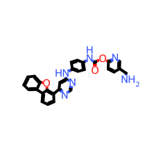 NCc1ccc(OC(=O)Nc2ccc(Nc3cc(-c4cccc5c4oc4ccccc45)ncn3)cc2)nc1